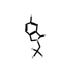 O=C1c2cc(I)ccc2CN1CC(F)(F)F